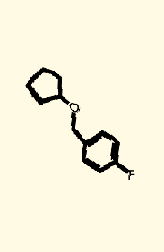 Fc1ccc(COC2CCCC2)cc1